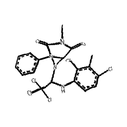 Cc1c(Cl)ccc(NC(N2C3C(=O)N(C)C(=O)[N+]32c2ccccc2)C(Cl)(Cl)Cl)c1Cl